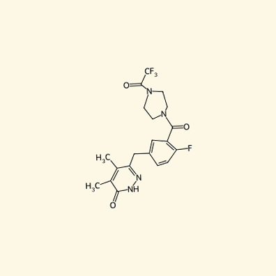 Cc1c(Cc2ccc(F)c(C(=O)N3CCN(C(=O)C(F)(F)F)CC3)c2)n[nH]c(=O)c1C